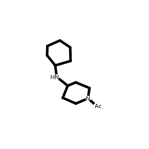 CC(=O)N1CCC(NC2CCCCC2)CC1